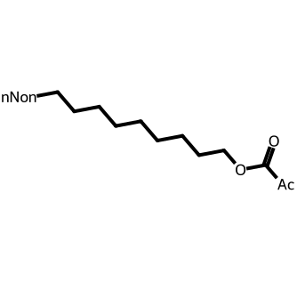 CCCCCCCCCCCCCCCCCCOC(=O)C(C)=O